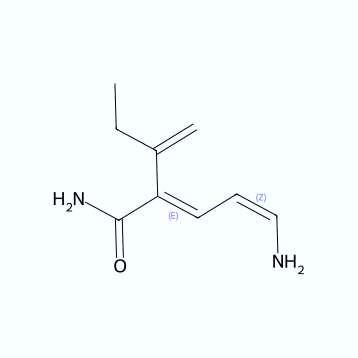 C=C(CC)/C(=C\C=C/N)C(N)=O